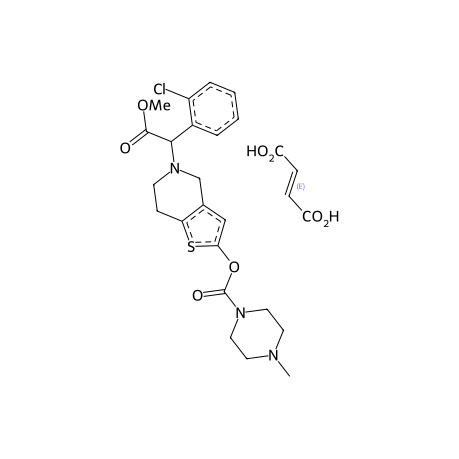 COC(=O)C(c1ccccc1Cl)N1CCc2sc(OC(=O)N3CCN(C)CC3)cc2C1.O=C(O)/C=C/C(=O)O